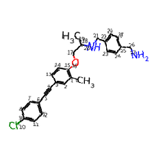 Cc1cc(C#Cc2ccc(Cl)cc2)ccc1OCC(C)NCc1ccc(CN)cc1